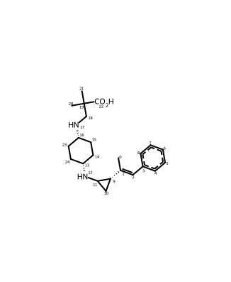 C/C(=C\c1ccccc1)[C@@H]1CC1N[C@H]1CC[C@@H](NCC(C)(C)C(=O)O)CC1